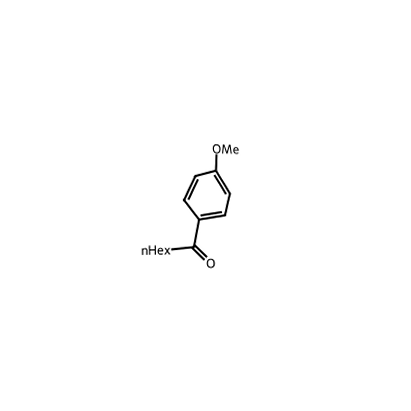 CCCCCCC(=O)c1ccc(OC)cc1